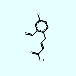 O=Cc1cc(Cl)ccc1C/C=C/C(=O)O